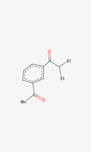 CCC(C)C(=O)c1cccc(C(=O)C(CC)CC)c1